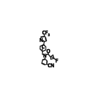 N#Cc1cccc(N(CC23CCC(c4ccc(C(F)(F)F)cn4)(CC2)CC3)C(=O)C23CC(F)(C2)C3)c1